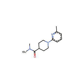 Cc1cccc(N2CCC(C(=O)N(C)C(C)(C)C)CC2)n1